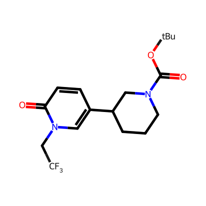 CC(C)(C)OC(=O)N1CCCC(c2ccc(=O)n(CC(F)(F)F)c2)C1